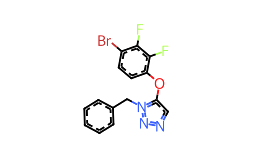 Fc1c(Br)ccc(Oc2cnnn2Cc2ccccc2)c1F